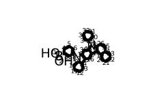 OB(O)c1cccc(-n2c3ccccc3c3cc4c5c6ccccc6ccc5n(-c5ccccc5)c4cc32)c1